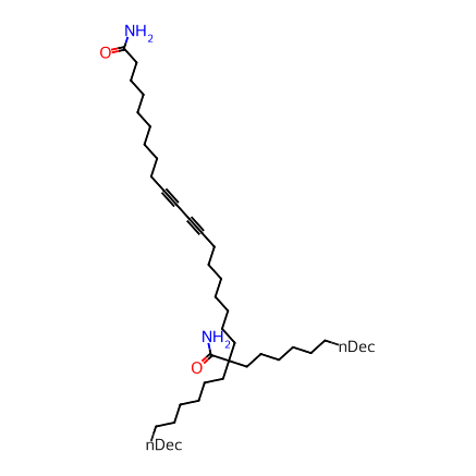 CCCCCCCCCCCCCCCCC(CCCCCCCC#CC#CCCCCCCCCC(N)=O)(CCCCCCCCCCCCCCCC)C(N)=O